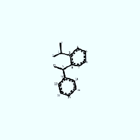 C[C](C)c1ccccc1C(C)c1ccccc1